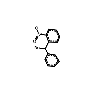 O=[N+]([O-])c1ccccc1C(Br)c1ccccc1